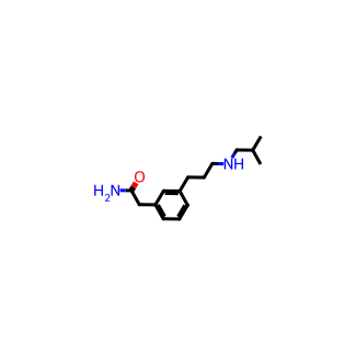 CC(C)CNCCCc1cccc(CC(N)=O)c1